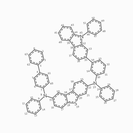 c1ccc(-c2ccc(N(c3ccccc3)c3ccc4sc5cc(N(c6ccccc6)c6cccc(-c7ccc8c9ccccc9n(-c9ccccc9)c8c7)c6)ccc5c4c3)cc2)cc1